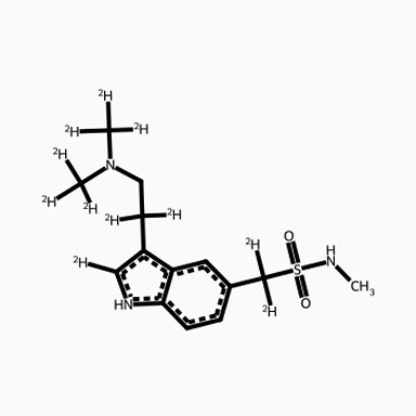 [2H]c1[nH]c2ccc(C([2H])([2H])S(=O)(=O)NC)cc2c1C([2H])([2H])CN(C([2H])([2H])[2H])C([2H])([2H])[2H]